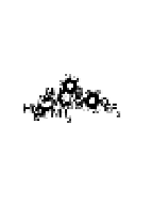 NC1=Nc2[nH]ncc2C(N)N1C1CCN(S(=O)(=O)c2ccc(OC(F)(F)F)cc2)c2ccccc2C1